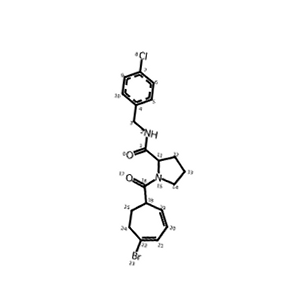 O=C(NCc1ccc(Cl)cc1)C1CCCN1C(=O)C1C=CC=C(Br)CC1